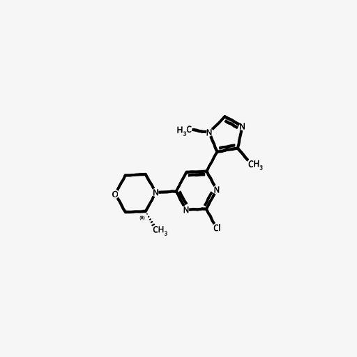 Cc1ncn(C)c1-c1cc(N2CCOC[C@H]2C)nc(Cl)n1